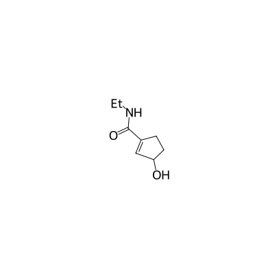 CCNC(=O)C1=CC(O)CC1